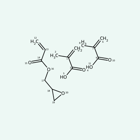 C=C(C)C(=O)O.C=C(C)C(=O)O.C=CC(=O)OCC1CO1